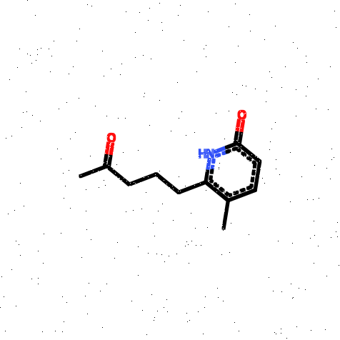 CC(=O)CCCc1[nH]c(=O)ccc1C